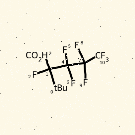 CC(C)(C)C(F)(C(=O)O)C(F)(F)C(F)(F)C(F)(F)F